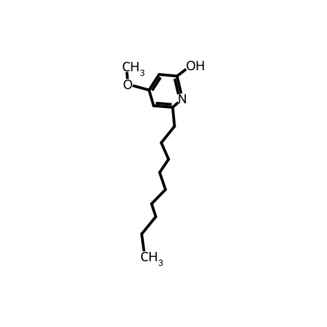 CCCCCCCCCc1cc(OC)cc(O)n1